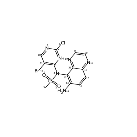 CS(=O)(=O)N(c1nc(Cl)ncc1Br)c1c(N)ccc2nccnc12